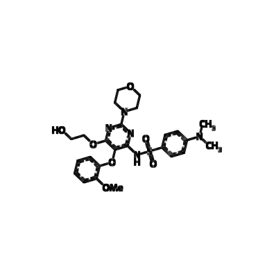 COc1ccccc1Oc1c(NS(=O)(=O)c2ccc(N(C)C)cc2)nc(N2CCOCC2)nc1OCCO